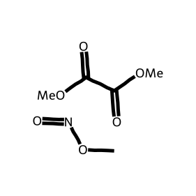 COC(=O)C(=O)OC.CON=O